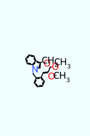 COC(=O)C(=Cc1ccccc1Cn1cc(C)c2ccccc21)OC